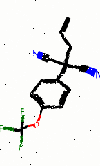 C=CCC(C#N)(C#N)c1ccc(OC(F)(F)F)cc1